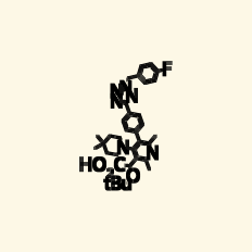 Cc1nc(C)c(C(OC(C)(C)C)C(=O)O)c(N2CCC(C)(C)CC2)c1-c1ccc(-c2nnn(Cc3ccc(F)cc3)n2)cc1